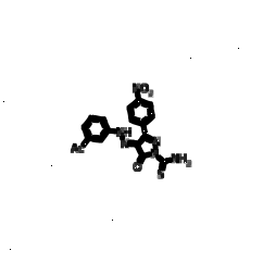 CC(=O)c1cccc(N/N=C2/C(=O)N(C(N)=S)N=C2c2ccc([N+](=O)[O-])cc2)c1